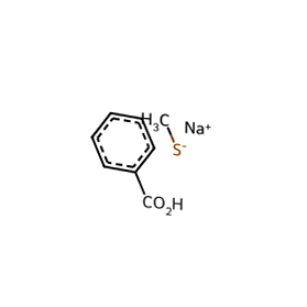 C[S-].O=C(O)c1ccccc1.[Na+]